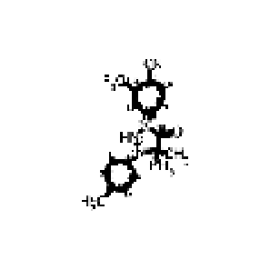 Cc1ccc(N2N[SH](c3ccc(C#N)c(C(F)(F)F)c3)C(=O)C2(C)C)cc1